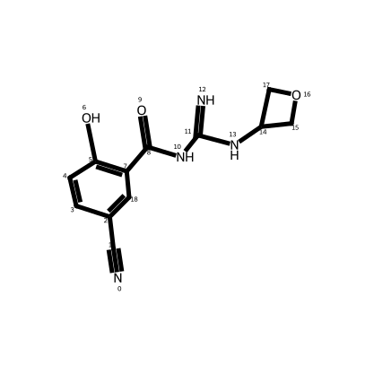 N#Cc1ccc(O)c(C(=O)NC(=N)NC2COC2)c1